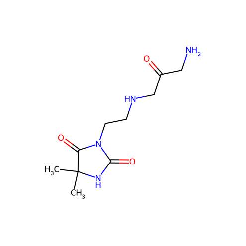 CC1(C)NC(=O)N(CCNCC(=O)CN)C1=O